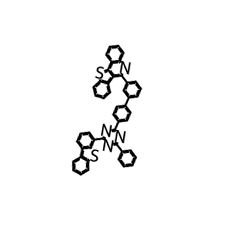 c1ccc(-c2nc(-c3ccc(-c4cccc(-c5nc6ccccc6c6sc7ccccc7c56)c4)cc3)nc(-c3cccc4c3sc3ccccc34)n2)cc1